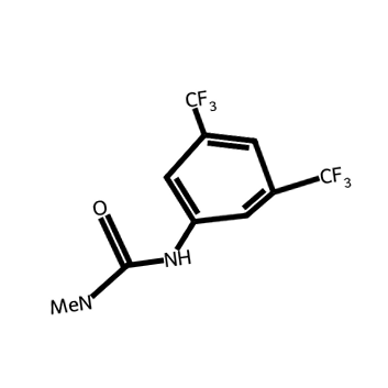 CNC(=O)Nc1cc(C(F)(F)F)cc(C(F)(F)F)c1